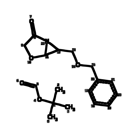 CC(C)(C)OC=O.O=C1COC2C(COCc3ccccc3)N12